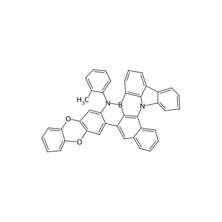 Cc1ccccc1N1B2c3c(cc4ccccc4c3-n3c4ccccc4c4cccc2c43)-c2cc3c(cc21)Oc1ccccc1O3